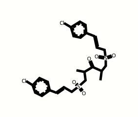 CC(CS(=O)(=O)CC=Cc1ccc(Cl)cc1)C(=O)C(C)CS(=O)(=O)CC=Cc1ccc(Cl)cc1